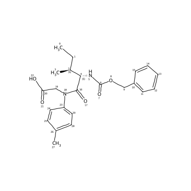 CC[C@H](C)[C@H](NC(=O)OCc1ccccc1)C(=O)N(CC(=O)O)c1ccc(C)cc1